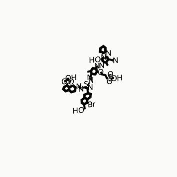 Cc1cc(N=Nc2c(C)c(C#N)c3nc4ccccc4n3c2O)c(OCCCS(=O)(=O)O)cc1N=Nc1nc(-c2ccc3c(Br)c(CO)ccc3c2)c(N=Nc2ccc3cccc(S(=O)(=O)O)c3c2)s1